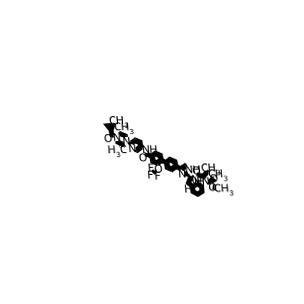 COC(=O)N[C@H](C(=O)N1[C@H](c2nc(-c3ccc(-c4ccc(C(=O)Nc5ccc(N6CCN(C(=O)C7CC7(C)C)C[C@H]6C)nc5)cc4OC(F)(F)F)cc3)c[nH]2)C[C@@H]2CCCC[C@@H]21)C(C)C